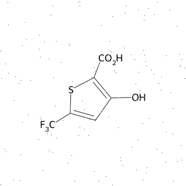 O=C(O)c1sc(C(F)(F)F)cc1O